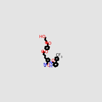 CN(C)C(=O)c1cc(CCCC(=O)Oc2ccc(C(=O)OCCCO)cc2)ccc1NC(=O)c1ccccc1-c1ccc(C(F)(F)F)cc1